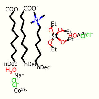 CCCCCCCCCCCCCCCCCC(=O)[O-].CCCCCCCCCCCCCCCCCC(=O)[O-].CCCCCCCCCCCCCCCC[N+](C)(C)C.CCO[Si](OCC)(OCC)OCC.O.[Al+3].[Cl-].[Cl-].[Cl-].[Cl-].[Co+2].[Na+].[OH-]